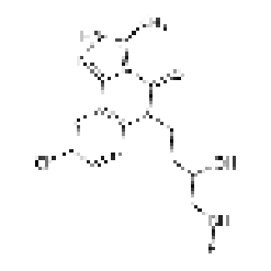 CCNCC(O)CCn1c(=O)c2c(C)[nH]nc2c2cc(Cl)ccc21